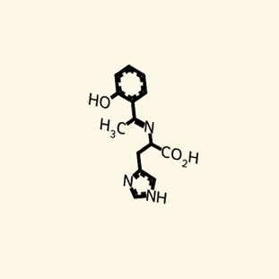 CC(=NC(Cc1c[nH]cn1)C(=O)O)c1ccccc1O